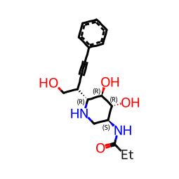 CCC(=O)N[C@H]1CN[C@H](C(C#Cc2ccccc2)CO)[C@@H](O)[C@@H]1O